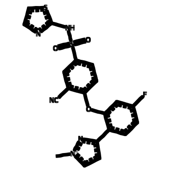 Cn1ccc(-c2ccc(F)cc2Oc2ccc(S(=O)(=O)Nc3nccs3)cc2C#N)n1